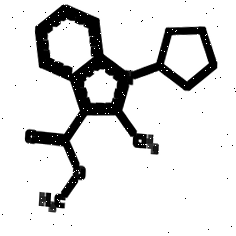 COC(=O)c1c(C)n(C2CCCC2)c2ccccc12